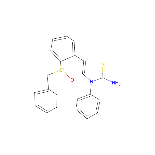 NC(=S)N(C=Cc1ccccc1[S+]([O-])Cc1ccccc1)c1ccccc1